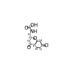 O=C(O)NCC1CC(=O)c2ccc(Cl)cc2O1